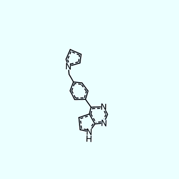 c1ccn(Cc2ccc(-c3ncnc4[nH]ccc34)cc2)c1